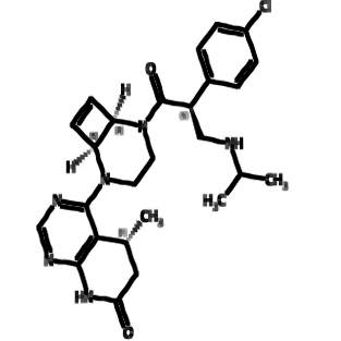 CC(C)NC[C@@H](C(=O)N1CCN(c2ncnc3c2[C@H](C)CC(=O)N3)[C@H]2C=C[C@H]21)c1ccc(Cl)cc1